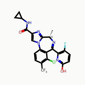 C[C@@H]1N=C(c2nc(O)ccc2F)c2c(ccc(C(F)(F)F)c2Cl)-n2cc(C(=O)NC3CC3)nc21